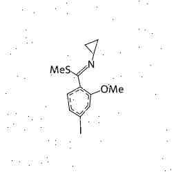 COc1cc(I)ccc1C(=NC1CC1)SC